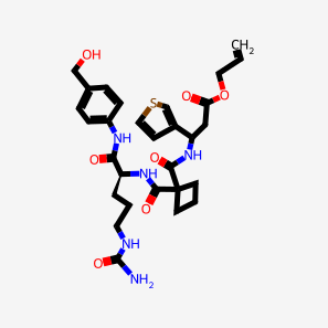 C=CCOC(=O)CC(NC(=O)C1(C(=O)N[C@@H](CCCNC(N)=O)C(=O)Nc2ccc(CO)cc2)CCC1)c1ccsc1